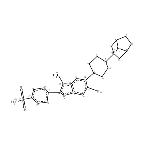 CC(C)N1C2CCC1CC(N1CCC(c3cc4c(cc3F)nc(-c3ccc(S(C)(=O)=O)cc3)n4C)CC1)C2